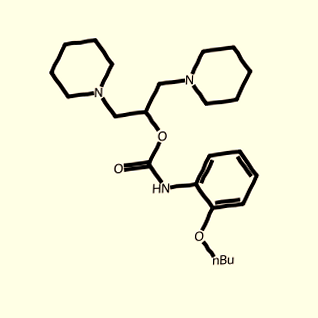 CCCCOc1ccccc1NC(=O)OC(CN1CCCCC1)CN1CCCCC1